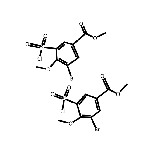 COC(=O)c1cc(Br)c(OC)c(S(=O)(=O)Cl)c1.COC(=O)c1cc(Br)c(OC)c(S(=O)(=O)Cl)c1